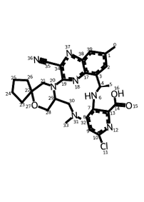 Cc1cc([C@@H](C)Nc2ccc(Cl)nc2C(=O)O)c2nc(N3CC4(CCCC4)OCC3CN(C)C)c(C#N)nc2c1